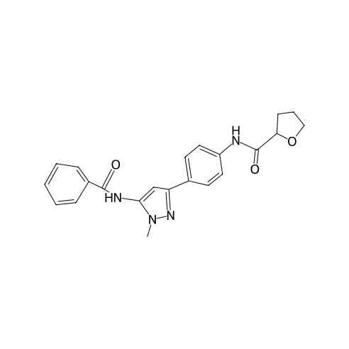 Cn1nc(-c2ccc(NC(=O)C3CCCO3)cc2)cc1NC(=O)c1ccccc1